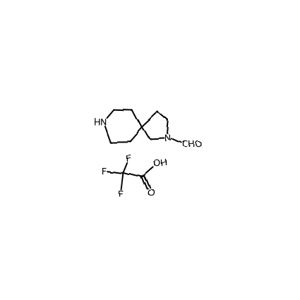 O=C(O)C(F)(F)F.O=CN1CCC2(CCNCC2)C1